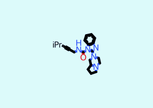 CC(C)C#CCNC(=O)n1c(N2CCN3CCCC3C2)nc2ccccc21